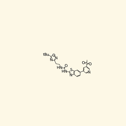 CC(C)(C)c1nc(CCNC(=O)Nc2nc3ccc(-c4cncc(S(C)(=O)=O)c4)cc3s2)no1